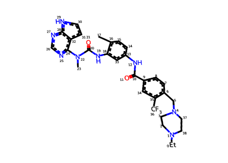 CCN1CCN(Cc2ccc(C(=O)Nc3ccc(C)c(NC(=O)N(C)c4ncnc5[nH]ccc45)c3)cc2C(F)(F)F)CC1